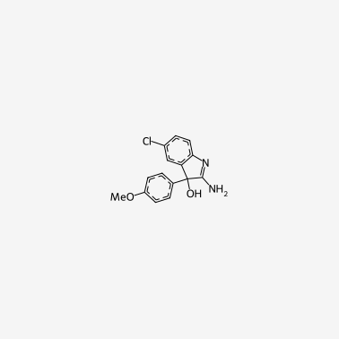 COc1ccc(C2(O)C(N)=Nc3ccc(Cl)cc32)cc1